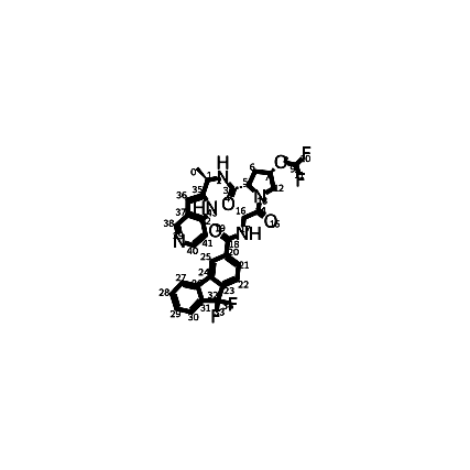 C[C@@H](NC(=O)[C@@H]1C[C@@H](OC(F)F)CN1C(=O)CNC(=O)c1ccc2c(c1)-c1ccccc1C2(F)F)c1cc2cnccc2[nH]1